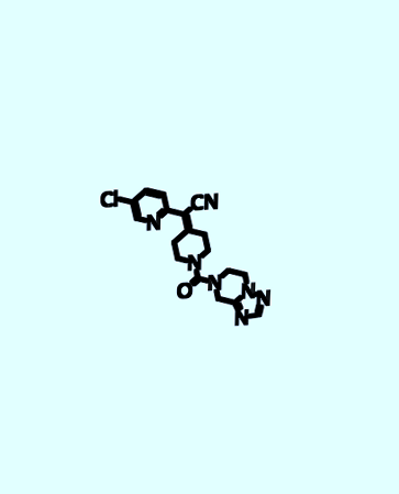 N#CC(=C1CCN(C(=O)N2CCn3ncnc3C2)CC1)c1ccc(Cl)cn1